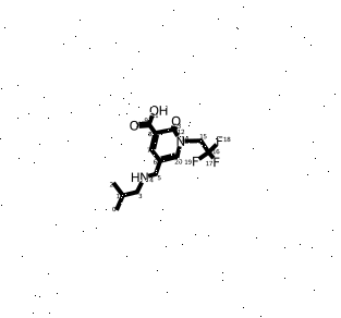 CC(C)CNCc1cc(C(=O)O)c(=O)n(CC(F)(F)F)c1